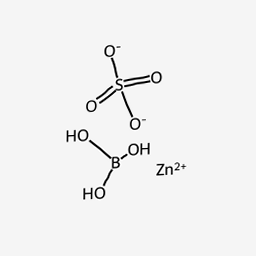 O=S(=O)([O-])[O-].OB(O)O.[Zn+2]